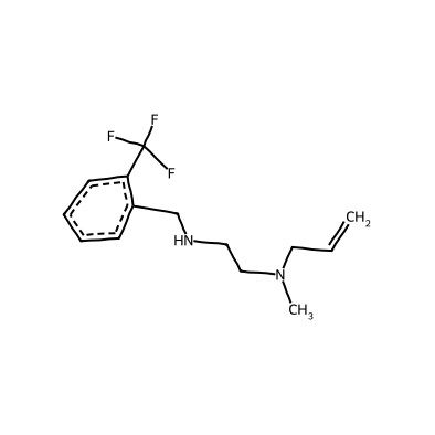 C=CCN(C)CCNCc1ccccc1C(F)(F)F